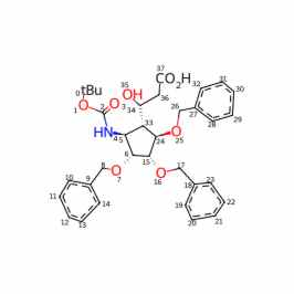 CC(C)(C)OC(=O)N[C@@H]1[C@@H](OCc2ccccc2)[C@@H](OCc2ccccc2)[C@H](OCc2ccccc2)[C@H]1C(O)CC(=O)O